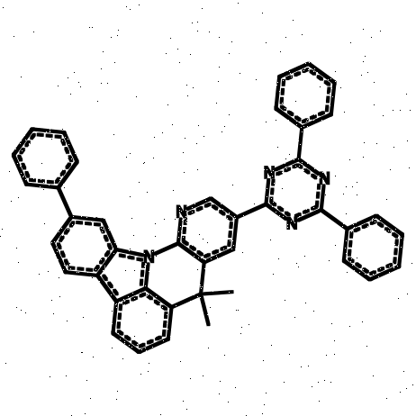 CC1(C)c2cc(-c3nc(-c4ccccc4)nc(-c4ccccc4)n3)cnc2-n2c3cc(-c4ccccc4)ccc3c3cccc1c32